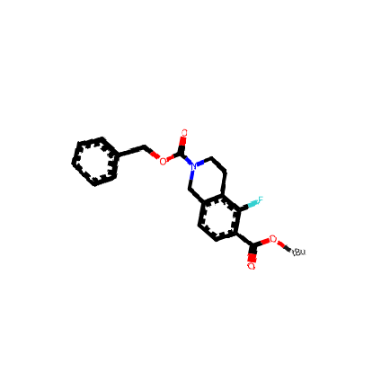 CC(C)(C)OC(=O)c1ccc2c(c1F)CCN(C(=O)OCc1ccccc1)C2